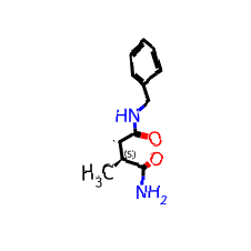 C[C@@H]([CH]C(=O)NCc1ccccc1)C(N)=O